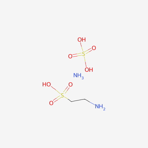 N.NCCS(=O)(=O)O.O=S(=O)(O)O